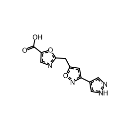 O=C(O)c1cnc(Cc2cc(-c3cn[nH]c3)no2)o1